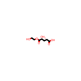 O.O=C(O)CCCC(=O)OCCO